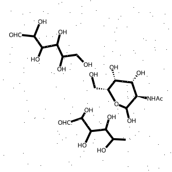 CC(=O)N[C@H]1C(O)O[C@H](CO)[C@H](O)[C@@H]1O.CC(O)C(O)C(O)C(O)C=O.O=CC(O)C(O)C(O)C(O)CO